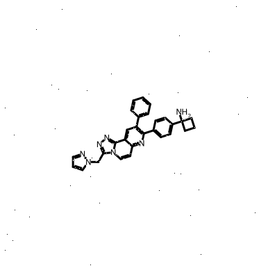 NC1(c2ccc(-c3nc4ccn5c(Cn6cccn6)nnc5c4cc3-c3ccccc3)cc2)CCC1